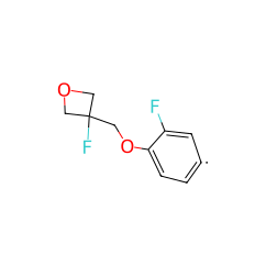 Fc1c[c]ccc1OCC1(F)COC1